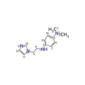 CN(C)c1ccc(NCCn2ccnc2)cc1